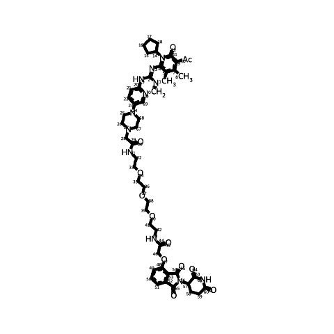 C=N/C(=N\c1c(C)c(C)c(C(C)=O)c(=O)n1C1CCCC1)Nc1ccc(N2CCN(CC(=O)NCCOCCOCCOCCNC(=O)COc3cccc4c3C(=O)N(C3CCC(=O)NC3=O)C4=O)CC2)cn1